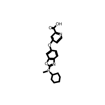 CN(c1nc2ccc(Oc3ccnc(C(=O)O)c3)cc2o1)C1CCCCC1